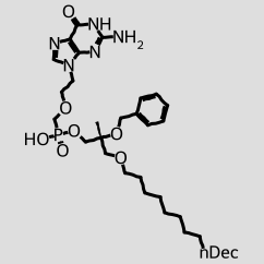 CCCCCCCCCCCCCCCCCCOC[C@](C)(COP(=O)(O)COCCn1cnc2c(=O)[nH]c(N)nc21)OCc1ccccc1